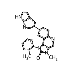 Cc1cccnc1-n1c(=O)n(C)c2cnc3ccc(-c4cnc5[nH]ccc5c4)cc3c21